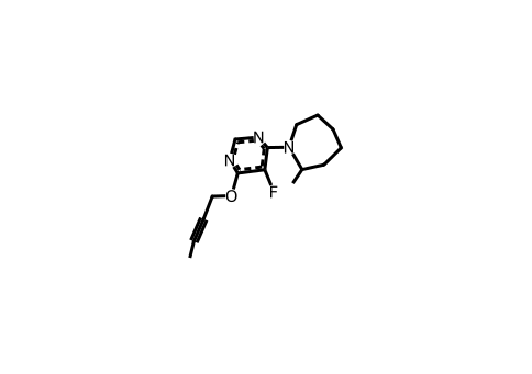 CC#CCOc1ncnc(N2CCCCCC2C)c1F